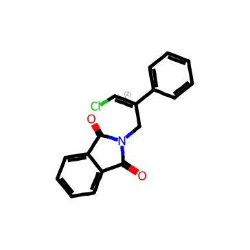 O=C1c2ccccc2C(=O)N1C/C(=C\Cl)c1ccccc1